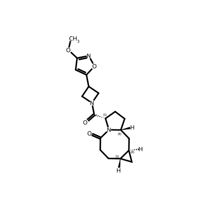 COc1cc(C2CN(C(=O)[C@@H]3CC[C@@H]4C[C@H]5C[C@@H]5CCC(=O)N43)C2)on1